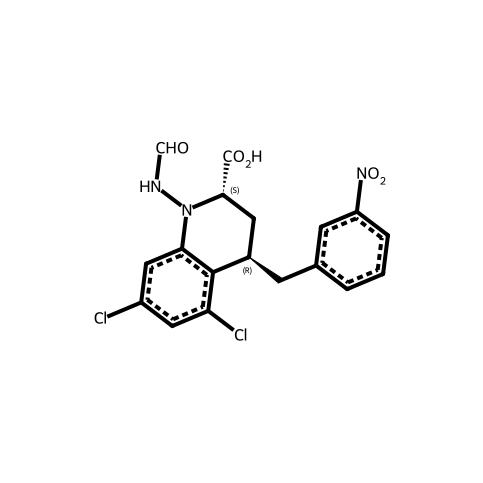 O=CNN1c2cc(Cl)cc(Cl)c2[C@H](Cc2cccc([N+](=O)[O-])c2)C[C@H]1C(=O)O